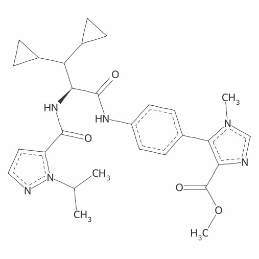 COC(=O)c1ncn(C)c1-c1ccc(NC(=O)[C@@H](NC(=O)c2ccnn2C(C)C)C(C2CC2)C2CC2)cc1